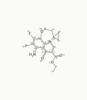 CCOC(=O)c1cn2c3c(c(F)c(F)c(N)c3c1=O)OCCC21CC1